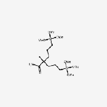 CO[Si](CCCC(C)(CCC[Si](OC)(OC)OC)C(N)=O)(OC)OC